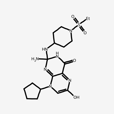 CCS(=O)(=O)N1CCC(NC2(N)N=C3C(=NC(O)=CN3C3CCCC3)C(=O)N2)CC1